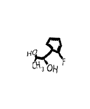 CC(O)[C@H](O)c1ccccc1F